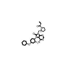 C=CC(=O)N1CCC[C@H]1Cn1c(=O)n(-c2ccc(Oc3ccccc3)cc2)c2c(N)ncnc21